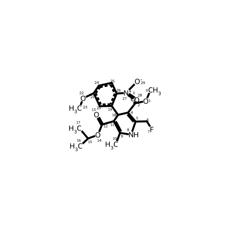 COC(=O)C1=C(CF)NC(C)=C(C(=O)OC(C)C)C1c1cc(OC)ccc1[N+](=O)[O-]